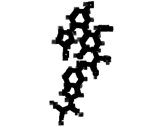 CCC(C(=O)Nc1ccc2nn(C(F)C(F)F)cc2c1)n1cc(OC)c(-c2cc(Cl)ccc2-n2cc(Cl)nn2)cc1=O